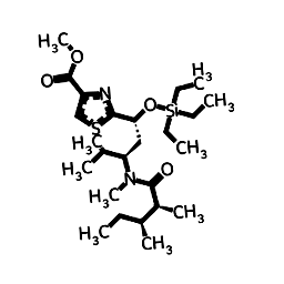 CC[C@H](C)[C@H](C)C(=O)N(C)[C@H](C[C@@H](O[Si](CC)(CC)CC)c1nc(C(=O)OC)cs1)C(C)C